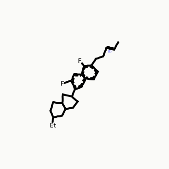 C/C=C/CCc1ccc2cc(C3CCC4CC(CC)CCC4C3)c(F)cc2c1F